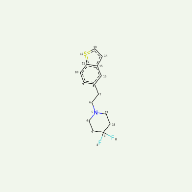 FC1(F)CCN(CCc2ccc3sccc3c2)CC1